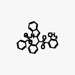 Cc1ccccc1S(=O)(=O)C(c1ccccc1)c1cc2ccccc2n1S(=O)(=O)c1ccccc1